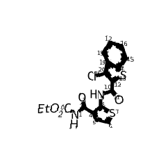 CCOC(=O)NC(=O)c1ccsc1NC(=O)c1sc2ccccc2c1Cl